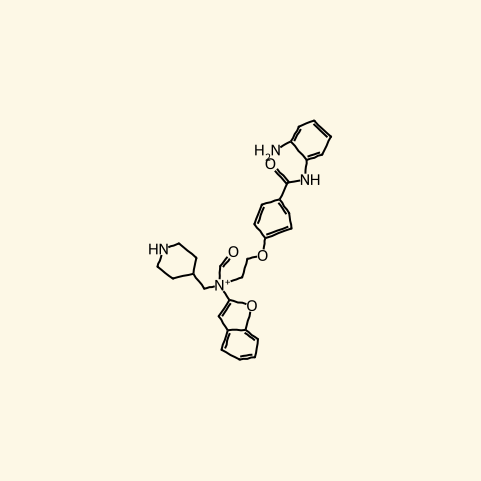 Nc1ccccc1NC(=O)c1ccc(OCC[N+](C=O)(CC2CCNCC2)c2cc3ccccc3o2)cc1